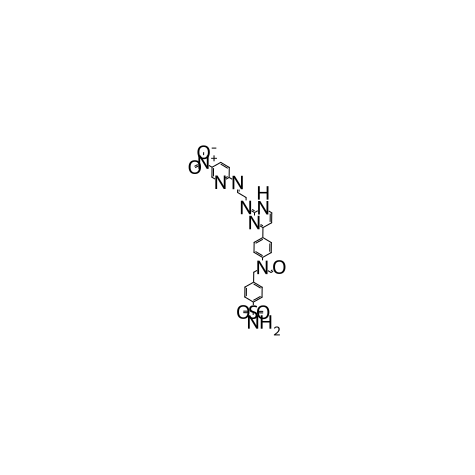 NS(=O)(=O)c1ccc(CN(C=O)c2ccc(-c3cc[nH]c(=NCC=Nc4ccc([N+](=O)[O-])cn4)n3)cc2)cc1